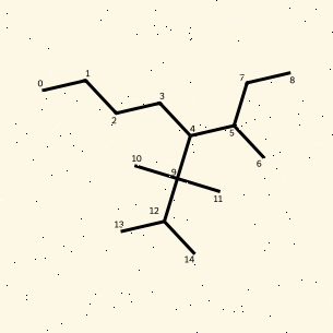 CCCC[C](C(C)CC)C(C)(C)C(C)C